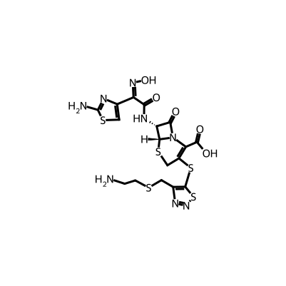 NCCSCc1nnsc1SC1=C(C(=O)O)N2C(=O)[C@@H](NC(=O)/C(=N\O)c3csc(N)n3)[C@H]2SC1